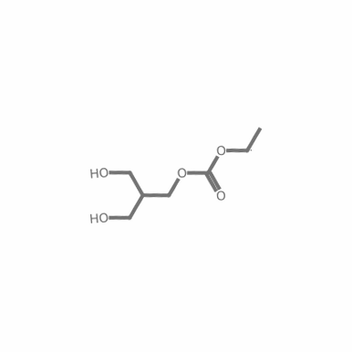 C[CH]OC(=O)OCC(CO)CO